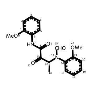 COc1ccccc1NC(=O)C(=O)[C@H](C)N(C=O)c1ccccc1OC